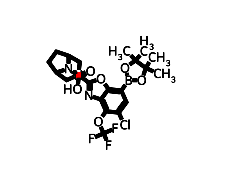 CC1(C)OB(c2cc(Cl)c(OC(F)(F)F)c3nc(N4CC5CCC(C4)N5C(=O)O)oc23)OC1(C)C